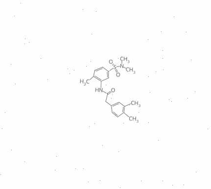 Cc1ccc(CC(=O)Nc2cc(S(=O)(=O)N(C)C)ccc2C)cc1C